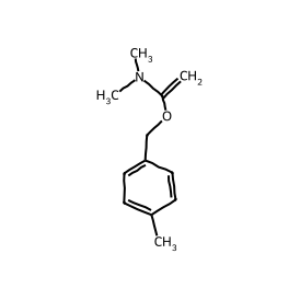 C=C(OCc1ccc(C)cc1)N(C)C